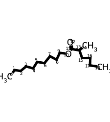 CCCCCCCCCCOC(=O)C(C)CCCC